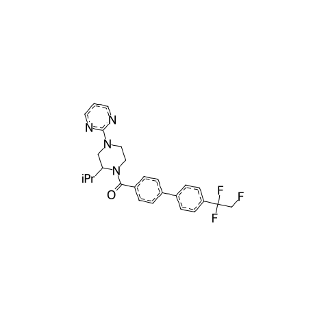 CC(C)C1CN(c2ncccn2)CCN1C(=O)c1ccc(-c2ccc(C(F)(F)CF)cc2)cc1